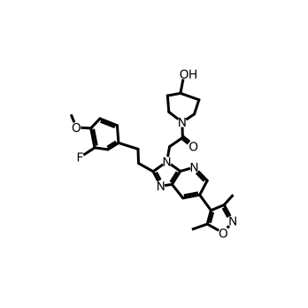 COc1ccc(CCc2nc3cc(-c4c(C)noc4C)cnc3n2CC(=O)N2CCC(O)CC2)cc1F